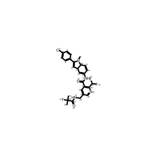 CN1C(c2ccc(Cl)cc2)=CC2C=C(NC(=O)c3cc(CNC(=O)C(C)(C)F)cnc3C(F)F)C=CC21